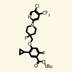 CC(C)(C)OC(=O)c1cc(C2CC2)c(OCC2(F)CCN(c3cc(C(F)(F)F)c(Cl)cn3)CC2)cc1F